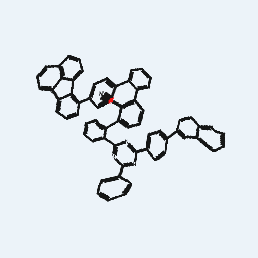 N#Cc1c(-c2ccccc2-c2ccc(-c3cccc4c3-c3cccc5cccc-4c35)cc2)cccc1-c1ccccc1-c1nc(-c2ccccc2)nc(-c2ccc(-c3ccc4ccccc4c3)cc2)n1